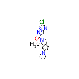 CC1c2cc(N3CCCCC3)ccc2CCN1C(=O)c1cc2ncc(Cl)cn2n1